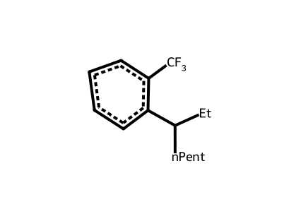 CCCCCC(CC)c1ccccc1C(F)(F)F